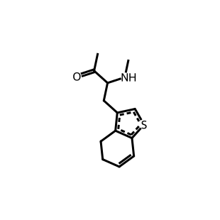 CNC(Cc1csc2c1CCC=C2)C(C)=O